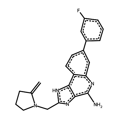 C=C1CCCN1Cc1nc2c(N)nc3cc(-c4cccc(F)c4)ccc3c2[nH]1